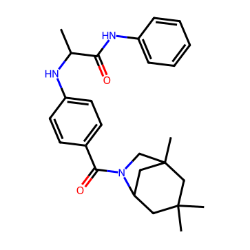 CC(Nc1ccc(C(=O)N2CC3(C)CC2CC(C)(C)C3)cc1)C(=O)Nc1ccccc1